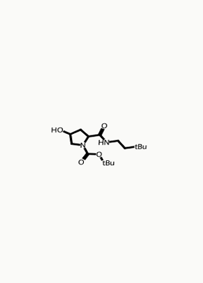 CC(C)(C)CCNC(=O)C1CC(O)CN1C(=O)OC(C)(C)C